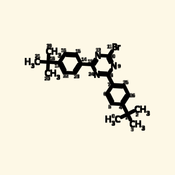 CC(C)(C)c1ccc(-c2nc(Br)nc(-c3ccc(C(C)(C)C)cc3)n2)cc1